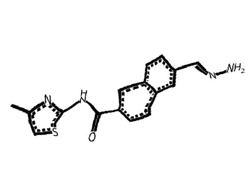 Cc1csc(NC(=O)c2ccc3cc(C=NN)ccc3c2)n1